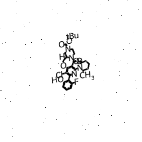 CC1CCCC(=O)N1c1nc(-c2c(O)cccc2F)c(Cl)c2c1C(=O)N1CCN(C(=O)OC(C)(C)C)C[C@@H]1CO2